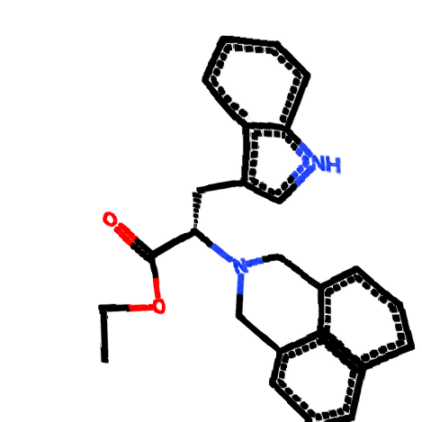 CCOC(=O)[C@H](Cc1c[nH]c2ccccc12)N(Cc1ccccc1)Cc1ccccc1